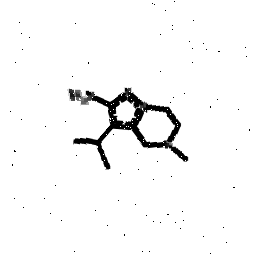 CC(C)c1c(N)nn2c1CN(C)CC2